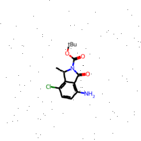 CC1c2c(Cl)ccc(N)c2C(=O)N1C(=O)OC(C)(C)C